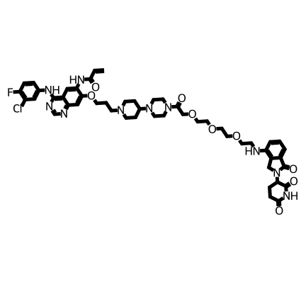 C=CC(=O)Nc1cc2c(Nc3ccc(F)c(Cl)c3)ncnc2cc1OCCCN1CCC(N2CCN(C(=O)COCCOCCOCCNc3cccc4c3CN(C3CCC(=O)NC3=O)C4=O)CC2)CC1